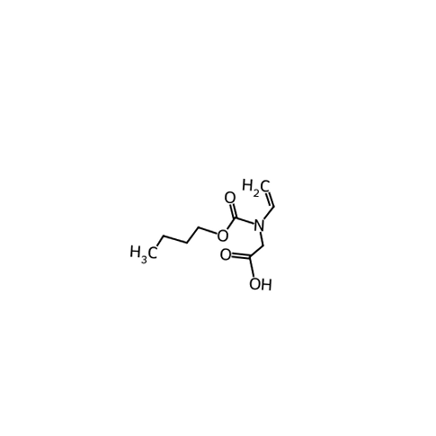 C=CN(CC(=O)O)C(=O)OCCCC